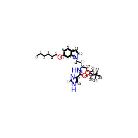 CCCCCCOc1ccc2ccn(CC[C@H](CO[Si](C)(C)C(C)(C)C)NC(=O)c3c[nH]cn3)c2c1